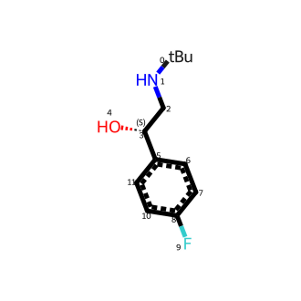 CC(C)(C)NC[C@@H](O)c1ccc(F)cc1